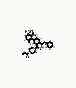 C=CC(=O)N1CCN(c2nnc(Cc3ccccc3)c3cc(Cl)c(-c4c(C)ccc5[nH]ncc45)cc23)CC1